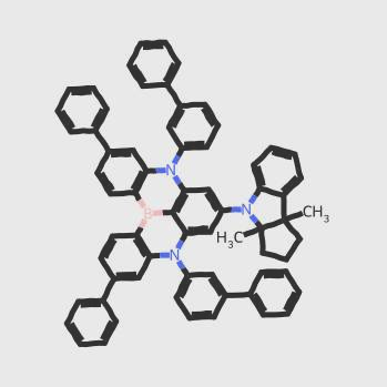 CC12CCCC1(C)N(c1cc3c4c(c1)N(c1cccc(-c5ccccc5)c1)c1cc(-c5ccccc5)ccc1B4c1ccc(-c4ccccc4)cc1N3c1cccc(-c3ccccc3)c1)c1ccccc12